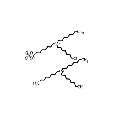 CCCCCCC[CH2][Sn+]([CH2]CCCCCCC)[CH2]CCCCCCC.CCCCCCC[CH2][Sn+]([CH2]CCCCCCC)[CH2]CCCCCCC.O=S(=O)([O-])[O-]